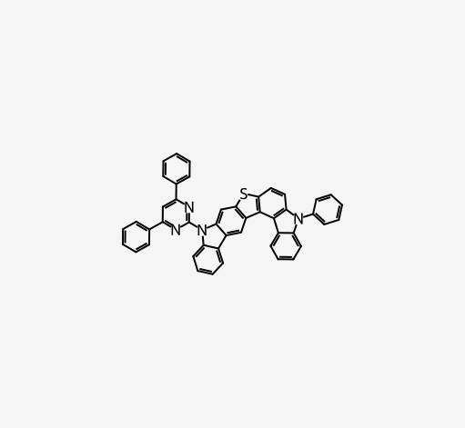 c1ccc(-c2cc(-c3ccccc3)nc(-n3c4ccccc4c4cc5c(cc43)sc3ccc4c(c6ccccc6n4-c4ccccc4)c35)n2)cc1